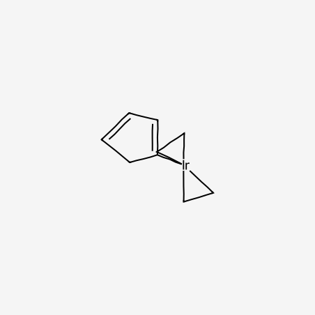 C1=CC[C]([Ir]23([CH2][CH2]2)[CH2][CH2]3)=C1